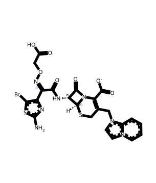 Nc1nc(/C(=N/OCC(=O)O)C(=O)N[C@@H]2C(=O)N3C(C(=O)[O-])=C(Cn4cc[n+]5ccccc45)CS[C@@H]23)c(Br)s1